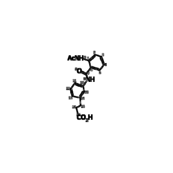 CC(=O)Nc1ccccc1C(=O)Nc1cccc(CCC(=O)O)c1